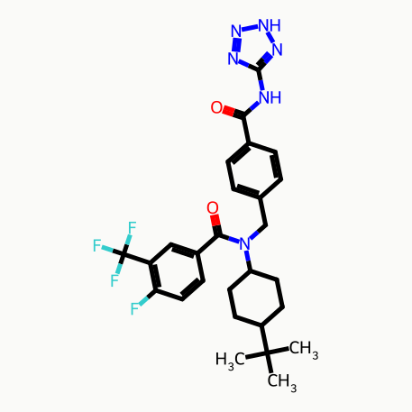 CC(C)(C)C1CCC(N(Cc2ccc(C(=O)Nc3nn[nH]n3)cc2)C(=O)c2ccc(F)c(C(F)(F)F)c2)CC1